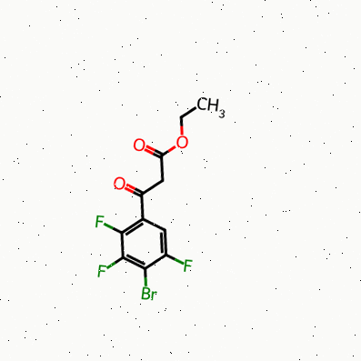 CCOC(=O)CC(=O)c1cc(F)c(Br)c(F)c1F